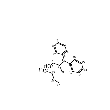 CC(CO)C(c1ccccc1)c1ccccc1.C[CH]CO